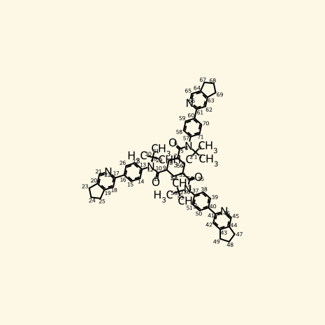 CC(C)(C)N(C(=O)C1CC(C(=O)N(c2ccc(-c3cc4c(cn3)CCC4)cc2)C(C)(C)C)CC(C(=O)N(c2ccc(-c3cc4c(cn3)CCC4)cc2)C(C)(C)C)C1)c1ccc(-c2cc3c(cn2)CCC3)cc1